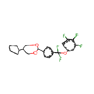 Fc1cc(OC(F)(F)c2ccc(C3OCC(C4CCCC4)CO3)cc2)cc(F)c1F